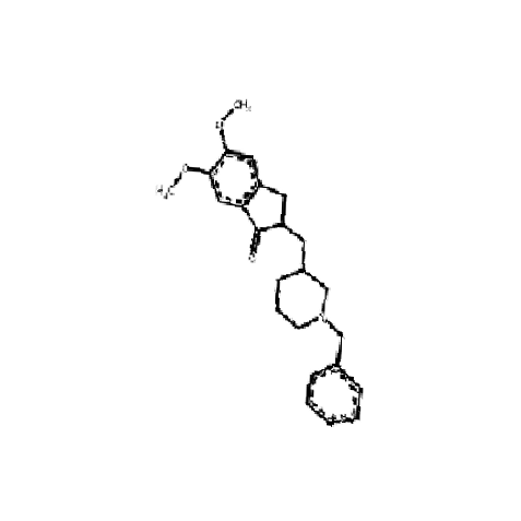 COc1cc2c(cc1OC)C(=O)C(CC1CCCN(Cc3ccccc3)C1)C2